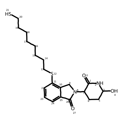 O=C1NC(O)CCC1N1Cc2c(SCCCCCCCCS)cccc2C1=O